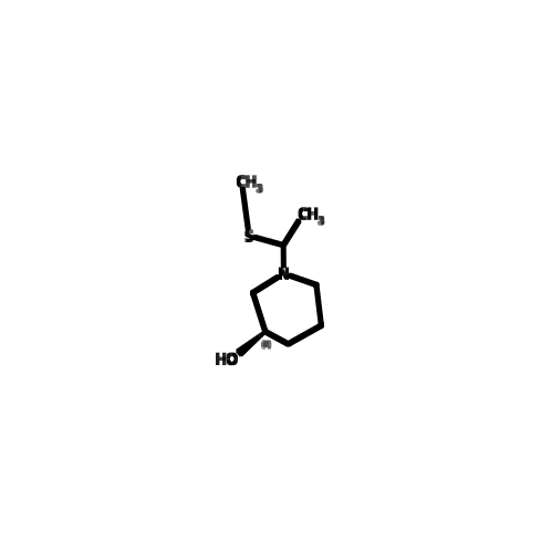 CSC(C)N1CCC[C@@H](O)C1